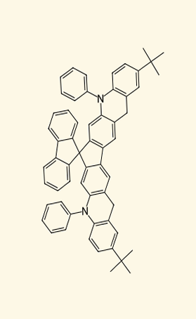 CC(C)(C)c1ccc2c(c1)Cc1cc3c(cc1N2c1ccccc1)C1(c2ccccc2-c2ccccc21)c1cc2c(cc1-3)Cc1cc(C(C)(C)C)ccc1N2c1ccccc1